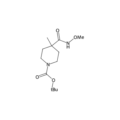 CONC(=O)C1(C)CCN(C(=O)OC(C)(C)C)CC1